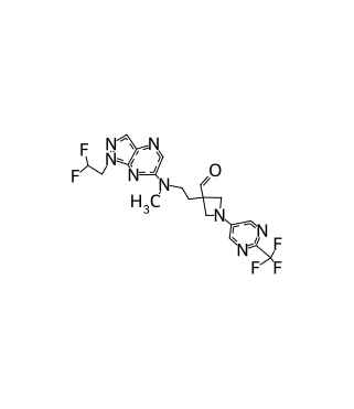 CN(CCC1(C=O)CN(c2cnc(C(F)(F)F)nc2)C1)c1cnc2cnn(CC(F)F)c2n1